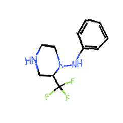 FC(F)(F)C1CNCCN1Nc1ccccc1